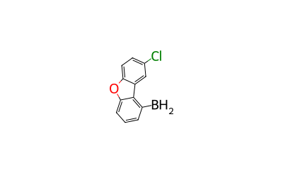 Bc1cccc2oc3ccc(Cl)cc3c12